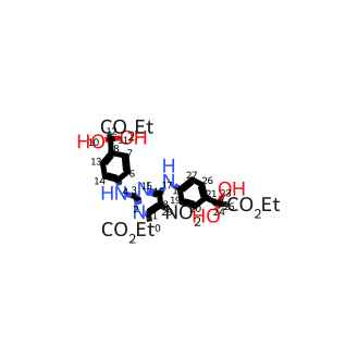 CCOC(=O)c1nc(Nc2ccc(C(O)(O)C(=O)OCC)cc2)nc(Nc2ccc(C(O)(O)C(=O)OCC)cc2)c1[N+](=O)[O-]